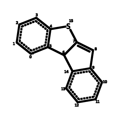 [c]1cccc2c1C1C(=Cc3ccccc31)S2